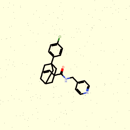 O=C(NCc1ccncc1)C12C=C3CC(C1)CC(c1ccc(Cl)cc1)(C3)C2